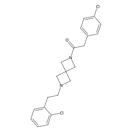 O=C(Cc1ccc(Cl)cc1)N1CC2(CN(CCc3ccccc3Cl)C2)C1